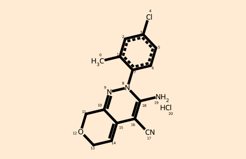 Cc1cc(Cl)ccc1N1N=C2COCC=C2C(C#N)=C1N.Cl